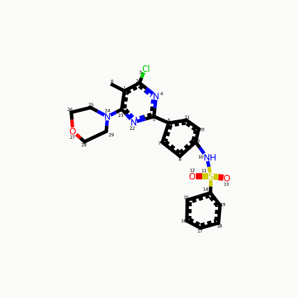 Cc1c(Cl)nc(-c2ccc(NS(=O)(=O)c3ccccc3)cc2)nc1N1CCOCC1